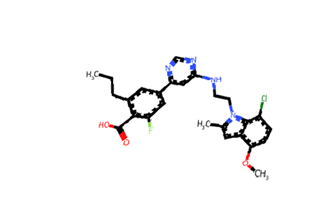 CCCc1cc(-c2cc(NCCn3c(C)cc4c(OC)ccc(Cl)c43)ncn2)cc(F)c1C(=O)O